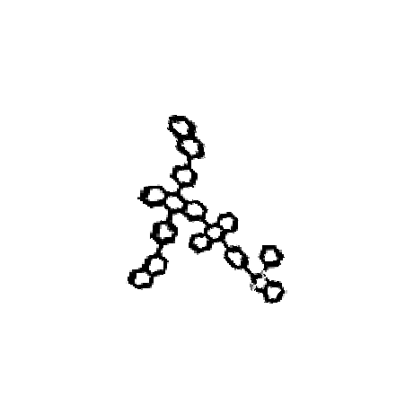 C1=CCC2C(=C1)C(c1ccc(C3C=c4ccccc4=CC3)cc1)=C1C=C(c3c4ccccc4c(-c4ccc(-c5nc6ccccc6n5-c5ccccc5)cc4)c4ccccc34)CCC1=C2C1C=CC(c2ccc3ccccc3c2)=CC1